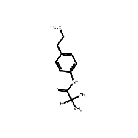 CCC(C)(C)C(=O)Nc1ccc(CCC(=O)O)cc1